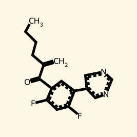 C=C(CCCC)C(=O)c1cc(-c2cncnc2)c(F)cc1F